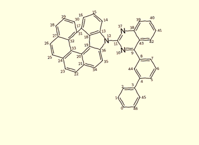 c1ccc(-c2cccc(-c3nc(-n4c5cccc6c5c5c7c(ccc8ccc9cccc-6c9c87)ccc54)nc4ccccc34)c2)cc1